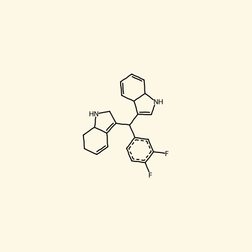 Fc1ccc(C(C2=CNC3C=CC=CC23)C2=C3C=CCCC3NC2)cc1F